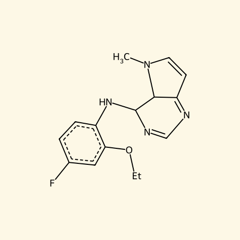 CCOc1cc(F)ccc1NC1N=CN=C2C=CN(C)C21